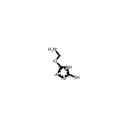 NCOc1nnc(S)[nH]1